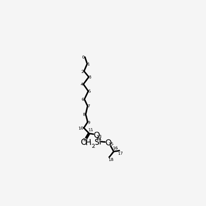 CCCCCCCCCCCC(=O)O[SiH2]OC(C)C